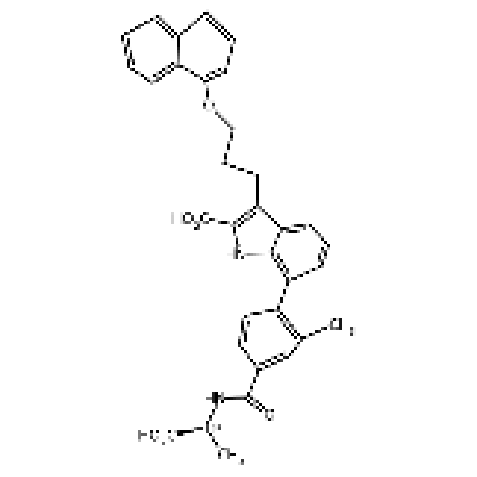 Cc1cc(C(=O)N[C@@H](C)C(=O)O)ccc1-c1cccc2c(CCCOc3cccc4ccccc34)c(C(=O)O)[nH]c12